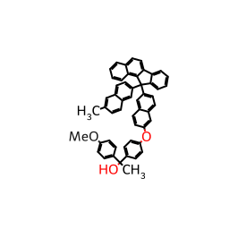 COc1ccc(C(C)(O)c2ccc(Oc3ccc4cc(C5(c6ccc7cc(C)ccc7c6)c6ccccc6-c6ccc7ccccc7c65)ccc4c3)cc2)cc1